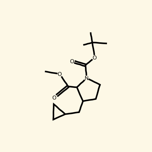 COC(=O)C1C(CC2CC2)CCN1C(=O)OC(C)(C)C